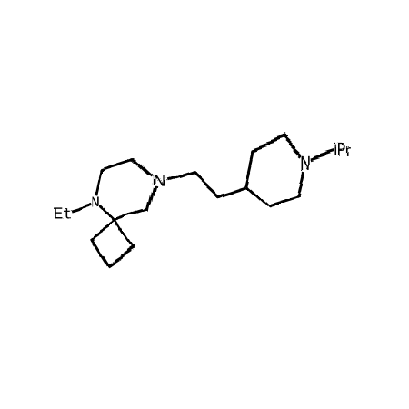 CCN1CCN(CCC2CCN(C(C)C)CC2)CC12CCC2